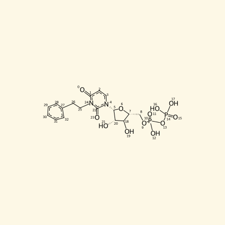 O=c1ccn([C@@H]2O[C@H](COP(=O)(O)OP(=O)(O)O)C(O)[C@@H]2O)c(=O)n1CCc1ccccc1